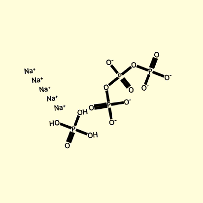 O=P(O)(O)O.O=P([O-])([O-])OP(=O)([O-])OP(=O)([O-])[O-].[Na+].[Na+].[Na+].[Na+].[Na+]